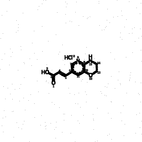 Cl.O=C(O)C=Cc1cnc2c(c1)OCCN2